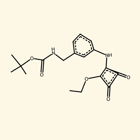 CCOc1c(Nc2cccc(CNC(=O)OC(C)(C)C)c2)c(=O)c1=O